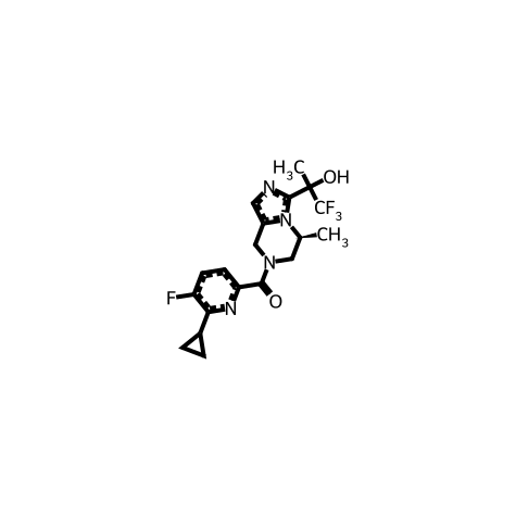 C[C@H]1CN(C(=O)c2ccc(F)c(C3CC3)n2)Cc2cnc(C(C)(O)C(F)(F)F)n21